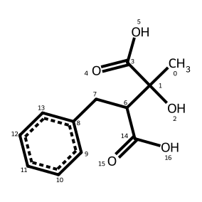 CC(O)(C(=O)O)C(Cc1ccccc1)C(=O)O